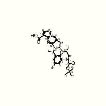 C[C@H](c1cc(F)ccc1O[C@@H](C)CNC(=O)OC(C)(C)C)N1CCc2cn3ncc(C(=O)O)c3nc21